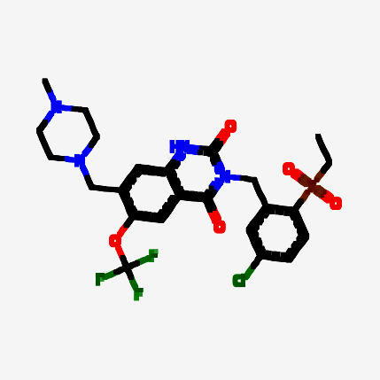 CCS(=O)(=O)c1ccc(Cl)cc1Cn1c(=O)[nH]c2cc(CN3CCN(C)CC3)c(OC(F)(F)F)cc2c1=O